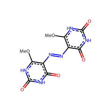 COc1[nH]c(=O)[nH]c(=O)c1N=Nc1c(OC)[nH]c(=O)[nH]c1=O